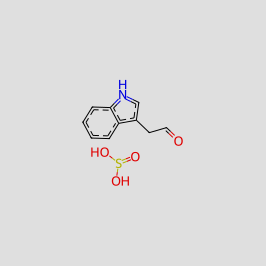 O=CCc1c[nH]c2ccccc12.O=S(O)O